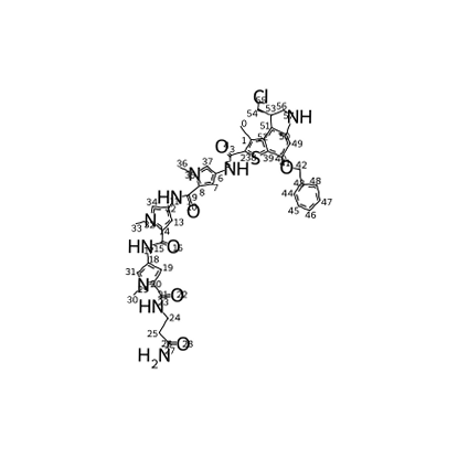 Cc1c(C(=O)Nc2cc(C(=O)Nc3cc(C(=O)Nc4cc(C(=O)NCCC(N)=O)n(C)c4)n(C)c3)n(C)c2)sc2c(OCc3ccccc3)cc3c(c12)[C@@H](CCl)CN3